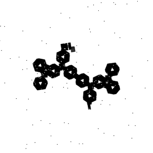 Pc1ccc(N(c2ccc(-c3ccc(N(c4ccc(I)cc4)c4ccc5c(c4)c4ccccc4n5-c4ccccc4)cc3)cc2)c2ccc3c(c2)c2ccccc2n3-c2ccccc2)cc1